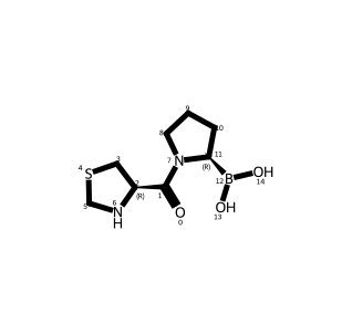 O=C([C@@H]1CSCN1)N1CCC[C@H]1B(O)O